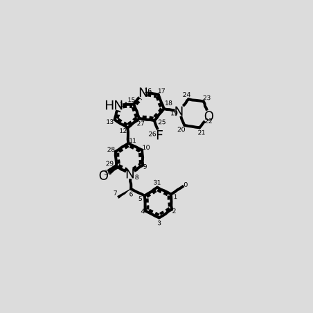 Cc1cccc([C@@H](C)n2ccc(-c3c[nH]c4ncc(N5CCOCC5)c(F)c34)cc2=O)c1